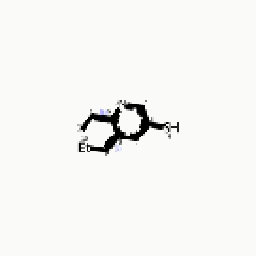 C/C=c1/ncc(S)c/c1=C/CC